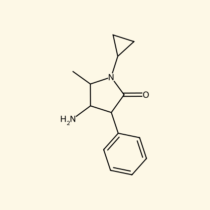 CC1C(N)C(c2ccccc2)C(=O)N1C1CC1